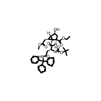 CCOC(=O)[C@]1(NC(=O)[C@H](CC(=O)NC(c2ccccc2)(c2ccccc2)c2ccccc2)NC(=O)OC(C)(C)C)C[C@H](O)[C@H]2[C@H](CC(=O)OC)[C@H]21